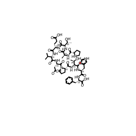 CC(C)[C@H](NC(=O)[C@H](CCC(=O)O)NC(=O)[C@@H](NC(=O)[C@H](C)NC(=O)[C@@H]1CCCN1)[C@@H](C)O)C(=O)N[C@@H](CC(=O)O)C(=O)N1CCC[C@H]1C(=O)N[C@H](C(=O)N[C@@H](Cc1c[nH]cn1)C(=O)N[C@@H](Cc1ccccc1)C(=O)O)[C@@H](C)O